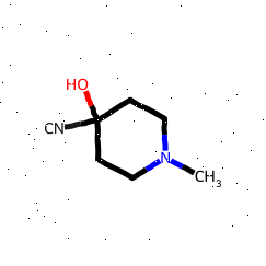 [C-]#[N+]C1(O)CCN(C)CC1